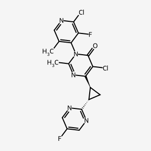 Cc1cnc(Cl)c(F)c1-n1c(C)nc([C@H]2C[C@@H]2c2ncc(F)cn2)c(Cl)c1=O